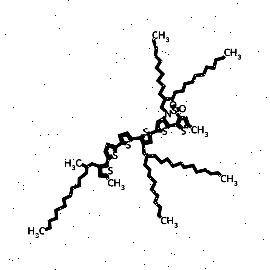 CCCCCCCCCCCCC(C)Cc1cc(C)sc1-c1ccc(-c2ccc(-c3sc(-c4cc5c(s4)-c4sc(C)cc4S(=O)(=O)N5CC(CCCCCCCCCC)CCCCCCCCCCCC)cc3CC(CCCCCCCCCC)CCCCCCCCCCCC)s2)s1